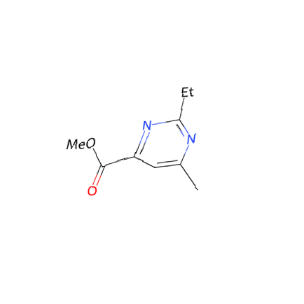 CCc1nc(C)cc(C(=O)OC)n1